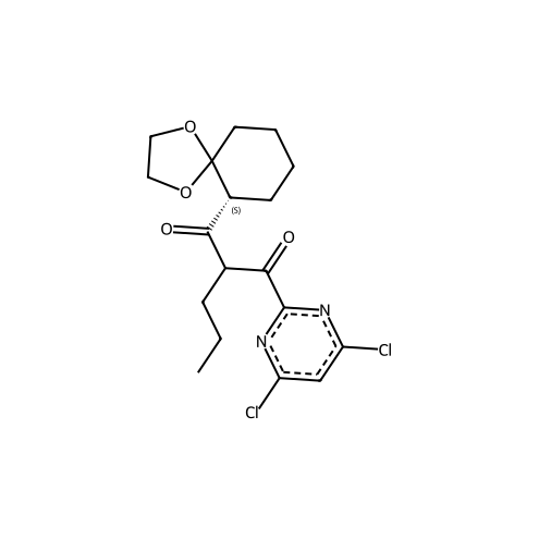 CCCC(C(=O)c1nc(Cl)cc(Cl)n1)C(=O)[C@H]1CCCCC12OCCO2